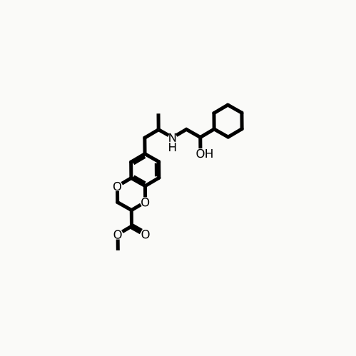 COC(=O)C1COc2cc(CC(C)NCC(O)C3CCCCC3)ccc2O1